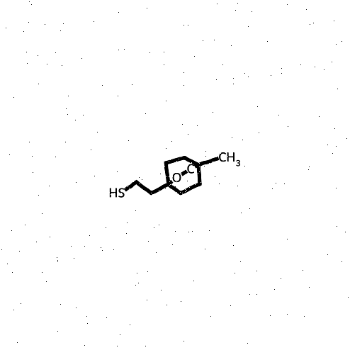 CC12CCC(CCS)(CC1)OC2